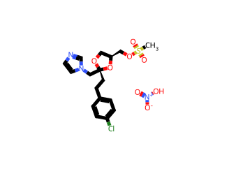 CS(=O)(=O)OC[C@@H]1CO[C@@](CCc2ccc(Cl)cc2)(Cn2ccnc2)O1.O=[N+]([O-])O